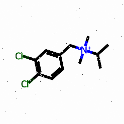 CC(C)[N+](C)(C)Cc1ccc(Cl)c(Cl)c1